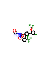 NS(=O)(=O)c1cccc(C(F)(F)F)c1-c1cc(-c2cc(F)ccc2OC(F)F)ccc1-c1cnn(C2CCOC2)c1